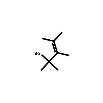 CCCCC(C)(C)C(C)=C(C)C